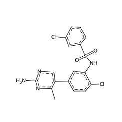 Cc1nc(N)ncc1-c1ccc(Cl)c(NS(=O)(=O)c2cccc(Cl)c2)c1